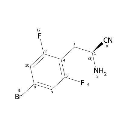 N#C[C@@H](N)Cc1c(F)cc(Br)cc1F